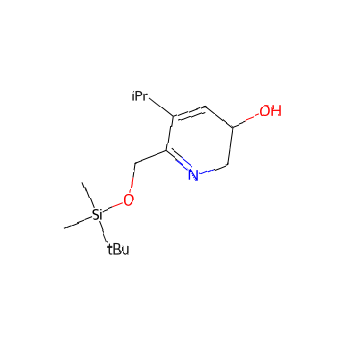 CC(C)C1=CC(O)CN=C1CO[Si](C)(C)C(C)(C)C